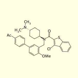 COc1ccc(-c2ccc(C(C)=O)cc2)cc1CN(C(=O)c1sc2ccccc2c1Cl)[C@H]1CC[C@H](N(C)C)CC1